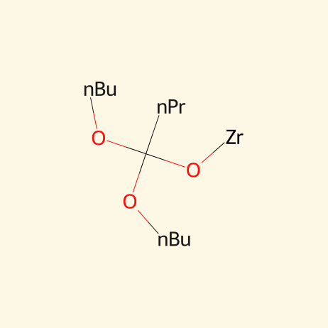 CCCCOC(CCC)([O][Zr])OCCCC